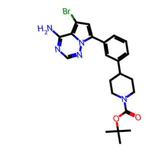 CC(C)(C)OC(=O)N1CCC(c2cccc(-c3cc(Br)c4c(N)ncnn34)c2)CC1